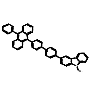 CCCCn1c2ccccc2c2cc(-c3ccc(-c4ccc(-c5c6ccccc6c(-c6ccccc6)c6ccccc56)cc4)cc3)ccc21